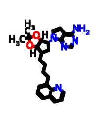 CC1(C)O[C@@H]2[C@H](O1)C(CCCCc1cccc3cccnc13)C[C@H]2n1ccc2c(N)ncnc21